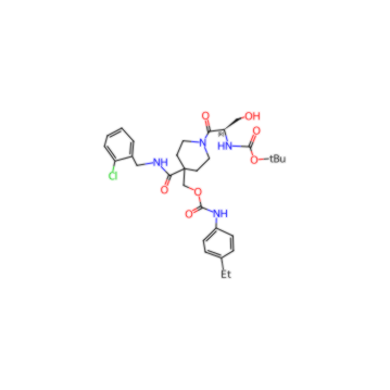 CCc1ccc(NC(=O)OCC2(C(=O)NCc3ccccc3Cl)CCN(C(=O)[C@@H](CO)NC(=O)OC(C)(C)C)CC2)cc1